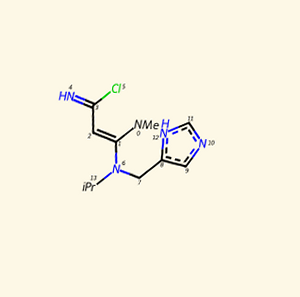 CN/C(=C\C(=N)Cl)N(Cc1cnc[nH]1)C(C)C